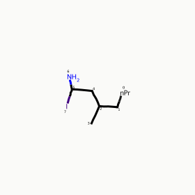 CCCCC(C)CC(N)I